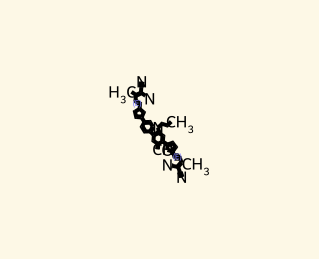 C=C1Cc2c(n(CCC)c3cc(C4=CCC(/C=C/C(C)=C(C#N)C#N)C4)ccc23)C=C1c1ccc(/C=C/C(C)=C(C#N)C#N)o1